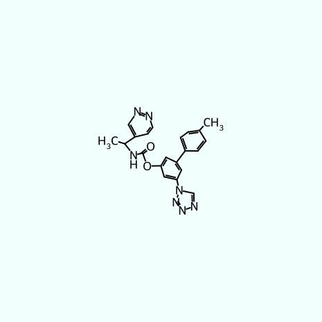 Cc1ccc(-c2cc(OC(=O)NC(C)c3ccnnc3)cc(-n3cnnn3)c2)cc1